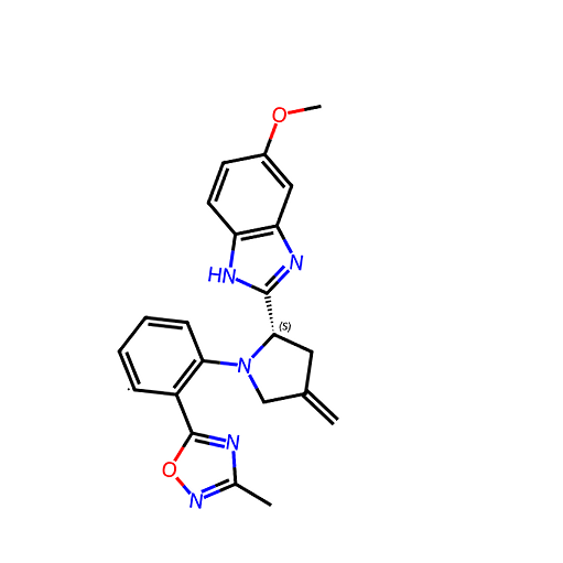 C=C1C[C@@H](c2nc3cc(OC)ccc3[nH]2)N(c2ccc[c]c2-c2nc(C)no2)C1